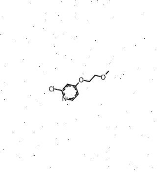 COCCOc1ccnc(Cl)c1